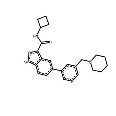 O=C(NC1CCC1)c1n[nH]c2ccc(-c3cncc(CN4CCCCC4)c3)cc12